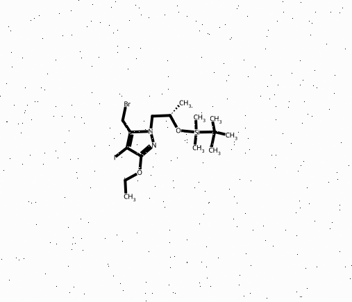 CCOc1nn(C[C@H](C)O[Si](C)(C)C(C)(C)C)c(CBr)c1I